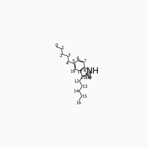 CCCCCc1ccc2[nH]nc(CCCCC)c2c1